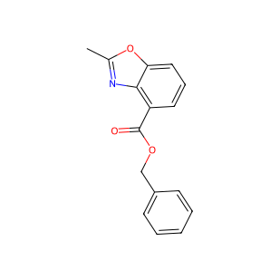 Cc1nc2c(C(=O)OCc3ccccc3)cccc2o1